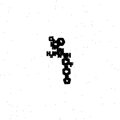 Nc1nc(Nc2ccc(N3CCC(N4CCCC4)CC3)c(F)c2)nn1-c1nnc(Cl)c2c1C1CCC2CC1